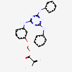 C=C(C)C(=O)OCOc1cccc(Nc2nc(Nc3ccccc3)nc(Nc3ccccc3)n2)c1